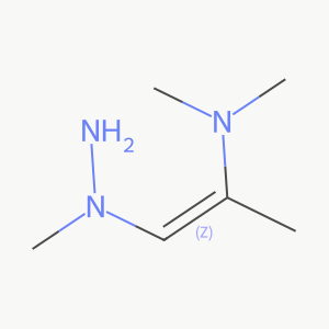 C/C(=C/N(C)N)N(C)C